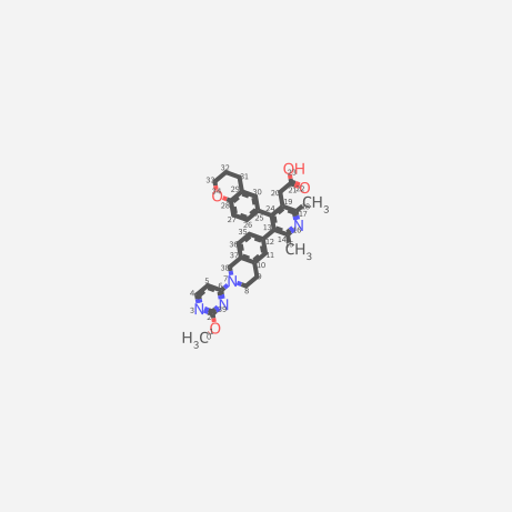 COc1nccc(N2CCc3cc(-c4c(C)nc(C)c(CC(=O)O)c4-c4ccc5c(c4)CCCO5)ccc3C2)n1